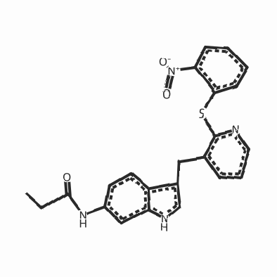 CCC(=O)Nc1ccc2c(Cc3cccnc3Sc3ccccc3[N+](=O)[O-])c[nH]c2c1